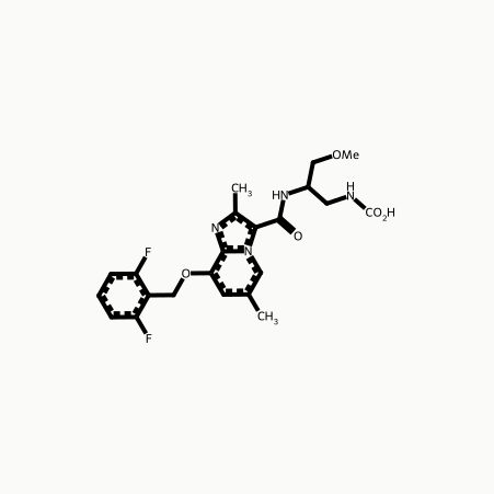 COCC(CNC(=O)O)NC(=O)c1c(C)nc2c(OCc3c(F)cccc3F)cc(C)cn12